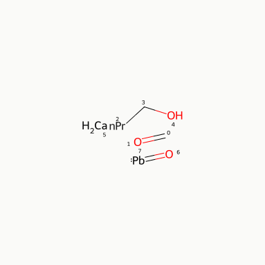 C=O.CCCCO.[CaH2].[O]=[Pb]